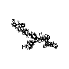 COc1ccc(CN2CCN(C3CC4(CCN(c5cc(Oc6cnc7[nH]ccc7c6)c(C(=O)NS(=O)(=O)c6cc([N+](=O)[O-])c(NCC7CCOCC7)c7c6OCO7)cn5)CC4)C3)[C@H](c3ccccc3C(C)C)C2)cc1